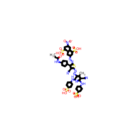 CCC(=O)Nc1ccc(-c2c(/N=N/c3cc(S(=O)(=O)O)c4cc([N+](=O)[O-])cc(S(=O)(=O)O)c4c3)sc(N=Nc3c(Nc4ccc(S(=O)(=O)O)cc4)nc(Nc4ccc(S(=O)(=O)O)cc4)c(C#N)c3C)c2C#N)cc1